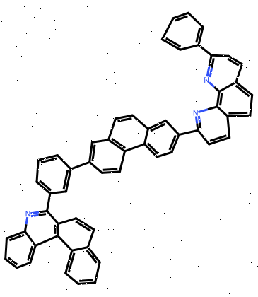 c1ccc(-c2ccc3ccc4ccc(-c5ccc6c(ccc7cc(-c8cccc(-c9nc%10ccccc%10c%10c9ccc9ccccc9%10)c8)ccc76)c5)nc4c3n2)cc1